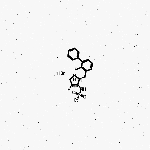 Br.CCS(=O)(=O)N[C@@H]1[C@H](Cc2cccc(-c3ccccc3)c2F)NC[C@@H]1F